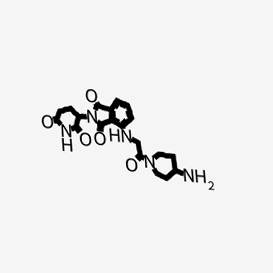 NC1CCN(C(=O)CNc2cccc3c2C(=O)N(C2CCC(=O)NC2=O)C3=O)CC1